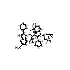 Cc1ccc2c([C@H](CC(F)(F)F)C(C3CC3)n3c(-c4ccccc4)c([C@H](CC4CC4)CC(F)(F)F)c4ccc(C)cc43)c(-c3ccccc3)[nH]c2c1